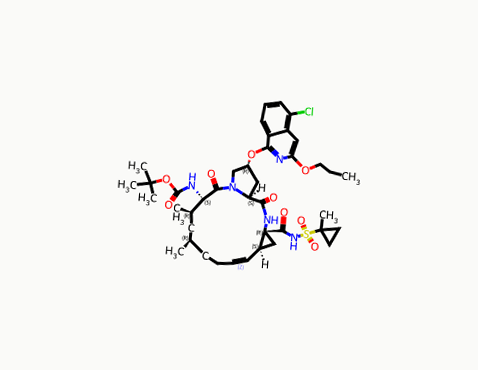 CCCOc1cc2c(Cl)cccc2c(O[C@@H]2C[C@H]3C(=O)N[C@]4(C(=O)NS(=O)(=O)C5(C)CC5)C[C@H]4/C=C\CC[C@@H](C)C[C@@H](C)[C@H](NC(=O)OC(C)(C)C)C(=O)N3C2)n1